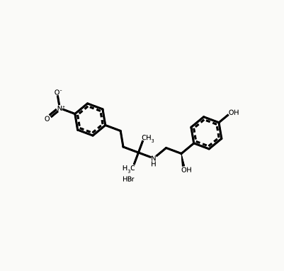 Br.CC(C)(CCc1ccc([N+](=O)[O-])cc1)NC[C@H](O)c1ccc(O)cc1